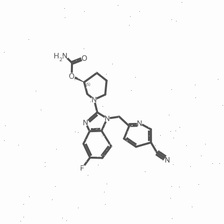 N#Cc1ccc(Cn2c(N3CCC[C@H](OC(N)=O)C3)nc3cc(F)ccc32)nc1